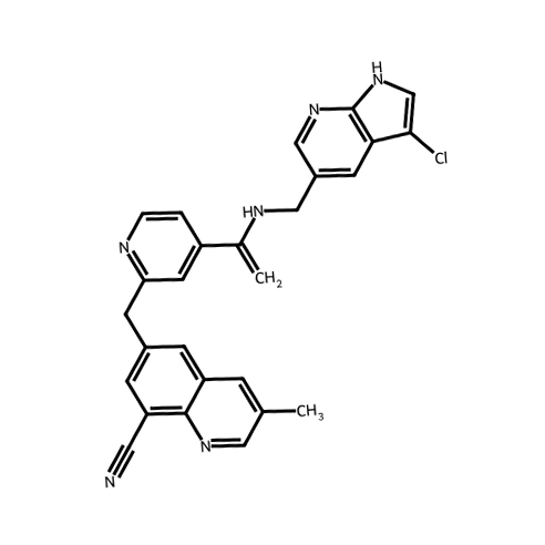 C=C(NCc1cnc2[nH]cc(Cl)c2c1)c1ccnc(Cc2cc(C#N)c3ncc(C)cc3c2)c1